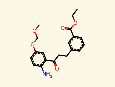 CCOC(=O)c1cccc(CCC(=O)c2cc(OCOC)ccc2N)c1